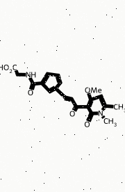 COc1cc(C)n(C)c(=O)c1C(=O)C=Cc1cccc(C(=O)NCC(=O)O)c1